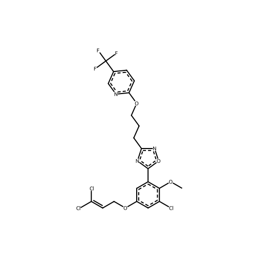 COc1c(Cl)cc(OCC=C(Cl)Cl)cc1-c1nc(CCCOc2ccc(C(F)(F)F)cn2)no1